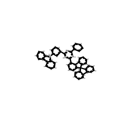 c1ccc(-c2nc(-c3cccc(-n4c5ccccc5c5ccccc54)c3)nc(-c3cccc4c3-c3ccccc3C43c4ccccc4-c4ccccc43)n2)cc1